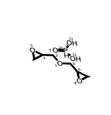 C(OCC1CO1)C1CO1.O=[PH](O)O